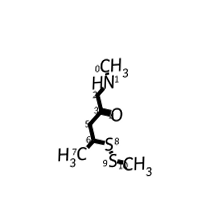 CNCC(=O)CC(C)SSC